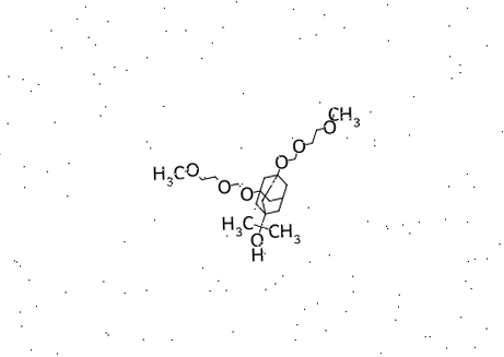 COCCOCOC12CC3CC(OCOCCOC)(C1)CC(C(C)(C)O)(C3)C2